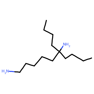 CCCCC(N)(CCCC)CCCCCN